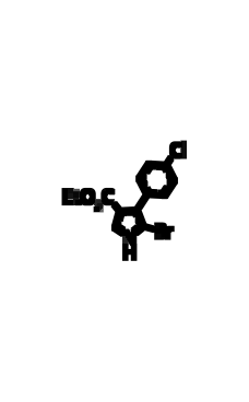 CCOC(=O)c1c[nH]c(Br)c1-c1ccc(Cl)cc1